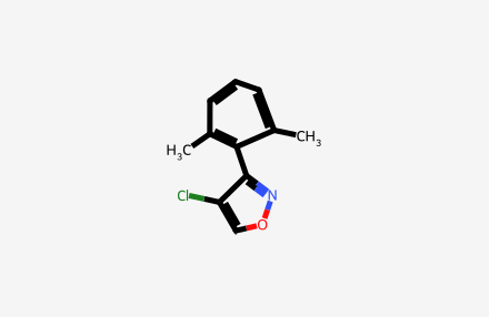 Cc1cccc(C)c1-c1no[c]c1Cl